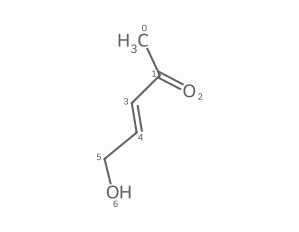 CC(=O)C=CCO